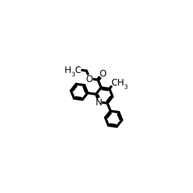 CCOC(=O)c1c(C)cc(-c2ccccc2)nc1-c1ccccc1